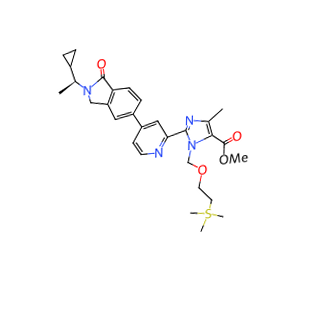 COC(=O)c1c(C)nc(-c2cc(-c3ccc4c(c3)CN([C@@H](C)C3CC3)C4=O)ccn2)n1COCCS(C)(C)C